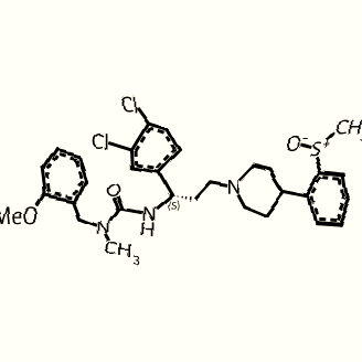 COc1ccccc1CN(C)C(=O)N[C@@H](CCN1CCC(c2ccccc2[S+](C)[O-])CC1)c1ccc(Cl)c(Cl)c1